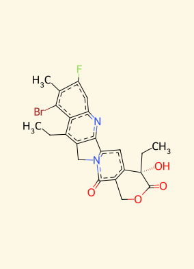 CCc1c2c(nc3cc(F)c(C)c(Br)c13)-c1cc3c(c(=O)n1C2)COC(=O)[C@]3(O)CC